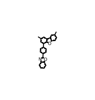 Cc1ccc2oc3c(-c4ccc(-c5nc6ccccc6o5)cc4)cc(C)cc3c2c1